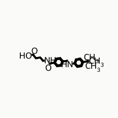 CC(C)(C)c1ccc(NCc2ccc(C(=O)NCCCC(=O)O)cc2)cc1